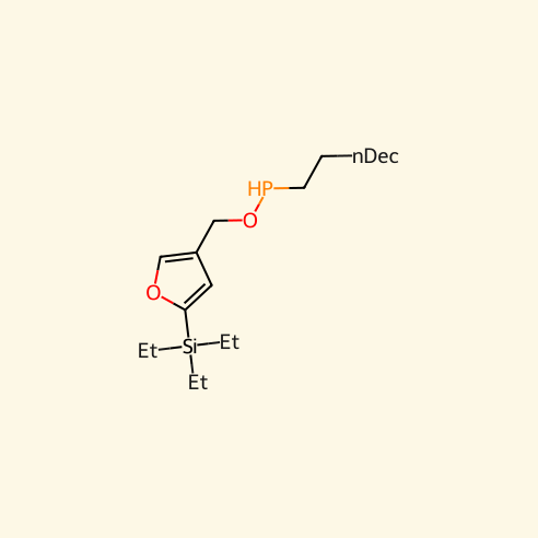 CCCCCCCCCCCCPOCc1coc([Si](CC)(CC)CC)c1